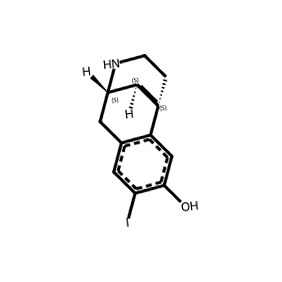 Oc1cc2c(cc1I)C[C@@H]1NCC[C@]23CCCC[C@H]13